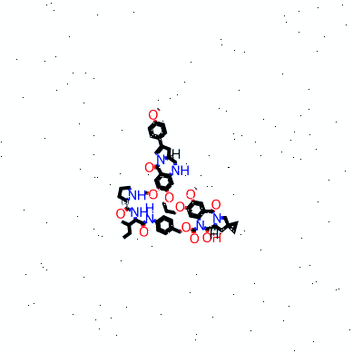 CCC(C)C(NC(=O)[C@@H]1CCCN1)C(=O)Nc1ccc(COC(=O)N2c3cc(OCCCOc4cc5c(cc4OC)C(=O)N4C=C(c6ccc(OC)cc6)C[C@H]4CN5)c(OC)cc3C(=O)N3CC4(CC4)C[C@H]3C2O)cc1